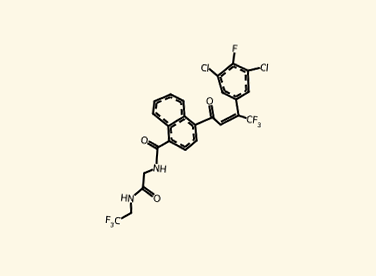 O=C(CNC(=O)c1ccc(C(=O)C=C(c2cc(Cl)c(F)c(Cl)c2)C(F)(F)F)c2ccccc12)NCC(F)(F)F